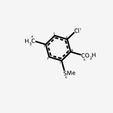 CSc1cc(C)cc(Cl)c1C(=O)O